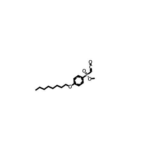 CCCCCCCCOc1ccc(P(=O)(C=C=O)OC)cc1